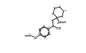 CCCCCCOc1ccc(C(C#N)CC2(CCCCC)CCCCC2)cc1